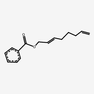 C=CCCCC=CCOC(=O)c1ccccc1